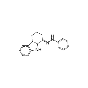 c1ccc(N/N=C2\CCCC3c4ccccc4NC23)cc1